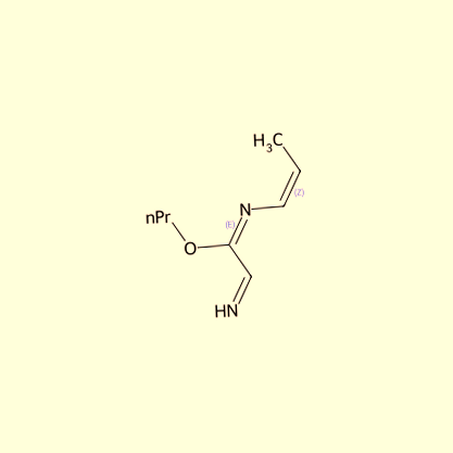 C/C=C\N=C(/C=N)OCCC